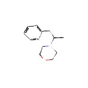 CC(Cc1ccccc1)N1CCOCC1